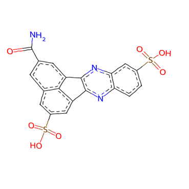 NC(=O)c1cc2c3c(cc(S(=O)(=O)O)cc3c1)-c1nc3ccc(S(=O)(=O)O)cc3nc1-2